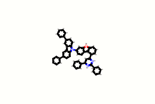 c1ccc(-c2ccc3c(c2)c2cc(-c4ccccc4)ccc2n3-c2ccc3c(c2)oc2cccc(-c4cc(-c5ccccc5)nc(-c5ccccc5)n4)c23)cc1